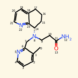 Cc1cccnc1CN(CCC(N)=O)[C@H]1CCCc2cccnc21